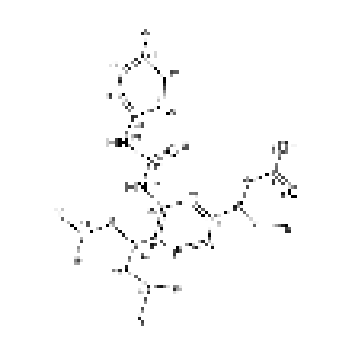 CCC(CC(=O)O)c1ccc(N(CC(C)C)CC(C)C)c(NC(=O)Nc2ccc(C)cc2)c1